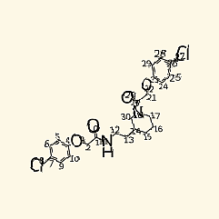 O=C(COc1ccc(Cl)cc1)NCCC1CCCN(C(=O)COc2ccc(Cl)cc2)C1